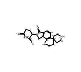 O=C1CCC(N2Cc3c(ccc4c3OCCC43CCNCC3)C2=O)C(=O)N1